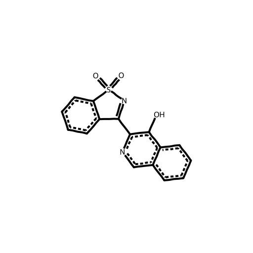 O=S1(=O)N=C(c2ncc3ccccc3c2O)c2ccccc21